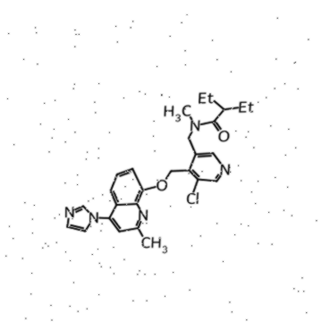 CCC(CC)C(=O)N(C)Cc1cncc(Cl)c1COc1cccc2c(-n3ccnc3)cc(C)nc12